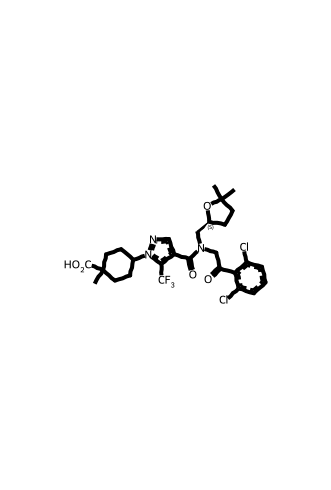 CC1(C)CC[C@@H](CN(CC(=O)c2c(Cl)cccc2Cl)C(=O)c2cnn(C3CCC(C)(C(=O)O)CC3)c2C(F)(F)F)O1